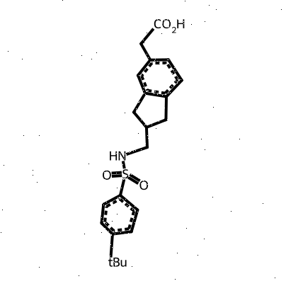 CC(C)(C)c1ccc(S(=O)(=O)NCC2Cc3ccc(CC(=O)O)cc3C2)cc1